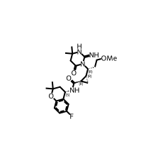 COCC[C@H]([C@@H]1C[C@H]1C(=O)N[C@H]1CC(C)(C)Oc2ccc(F)cc21)N1C(=N)NC(C)(C)CC1=O